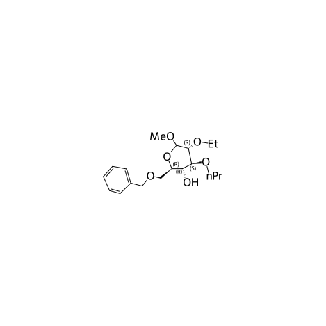 CCCO[C@H]1[C@H](O)[C@@H](COCc2ccccc2)OC(OC)[C@@H]1OCC